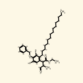 CCCCCCCCCCCCCCCCc1c(C(C(=O)OCC)C(C)C=O)cc(F)c(OCc2ccccc2)c1F